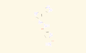 CNC(=O)c1ccc(C(=O)Nc2nc3c(OC)ncc(-c4cnn(C)c4)c3s2)cn1